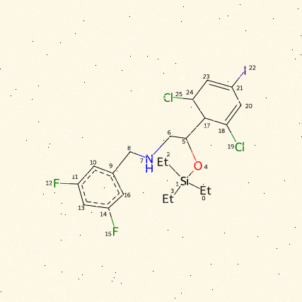 CC[Si](CC)(CC)OC(CNCc1cc(F)cc(F)c1)C1C(Cl)=CC(I)=CC1Cl